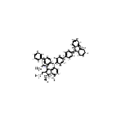 C=CC1=C(/C=C\C)c2c(N(c3ccc(-c4ccccc4)cc3)c3ccc(-c4ccc(-n5c6ccccc6c6ccccc65)cc4)cc3)cccc2C1(C)C